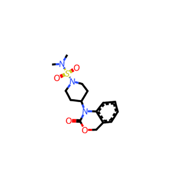 CN(C)S(=O)(=O)N1CCC(N2C(=O)OCc3ccccc32)CC1